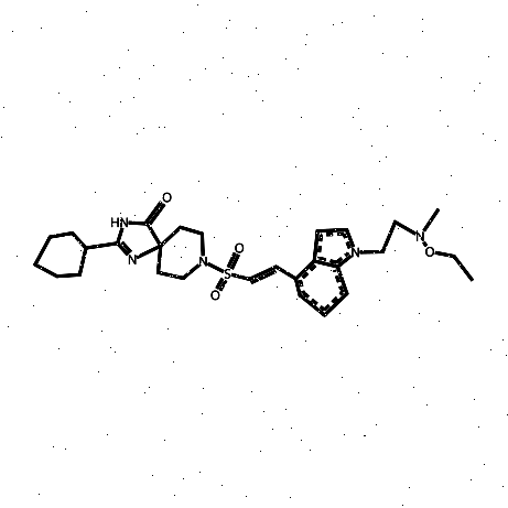 CCON(C)CCn1ccc2c(/C=C/S(=O)(=O)N3CCC4(CC3)N=C(C3CCCCC3)NC4=O)cccc21